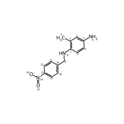 Cc1cc(N)ccc1NCc1ccc([N+](=O)[O-])cc1